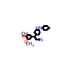 COc1ccc(C(=CC#N)c2ccc(Nc3ccccc3)cc2)cc1OC